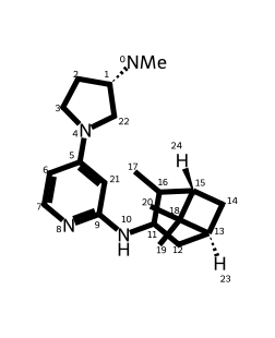 CN[C@H]1CCN(c2ccnc(NC3C[C@@H]4C[C@@H](C3C)C4(C)C)c2)C1